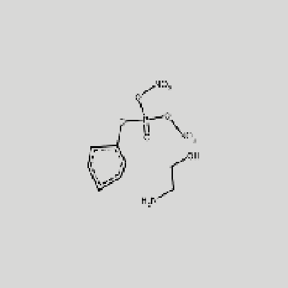 NCCO.O=[N+]([O-])OP(=O)(Oc1ccccc1)O[N+](=O)[O-]